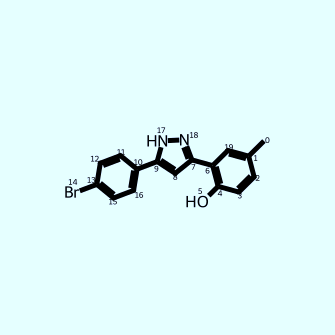 Cc1ccc(O)c(-c2cc(-c3ccc(Br)cc3)[nH]n2)c1